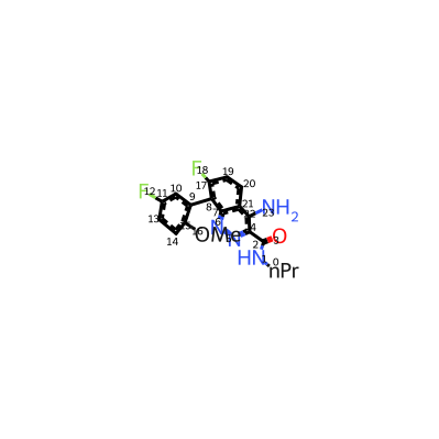 CCCNC(=O)c1nnc2c(-c3cc(F)ccc3OC)c(F)ccc2c1N